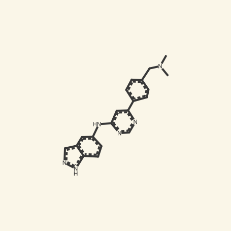 CN(C)Cc1ccc(-c2cc(Nc3ccc4[nH]ncc4c3)ncn2)cc1